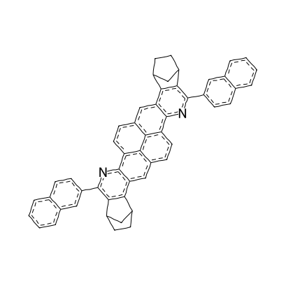 c1ccc2cc(-c3nc4c(cc5ccc6c7nc(-c8ccc9ccccc9c8)c8c(c7cc7ccc4c5c76)C4CCC8C4)c4c3C3CCC4C3)ccc2c1